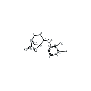 Cc1cccc(OC2CCN3CC2OC3=O)c1C